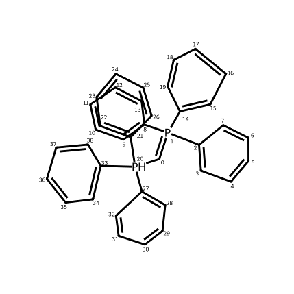 C(=P(c1ccccc1)(c1ccccc1)c1ccccc1)[PH](c1ccccc1)(c1ccccc1)c1ccccc1